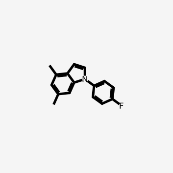 Cc1cc(C)c2ccn(-c3ccc(F)cc3)c2c1